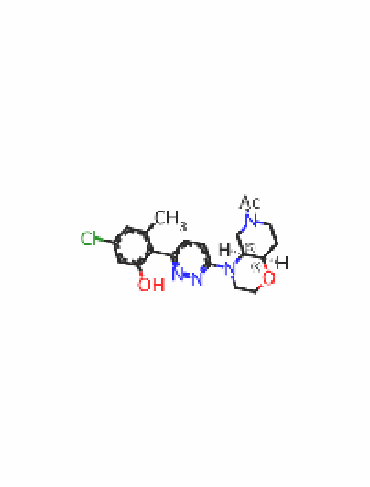 CC(=O)N1CC[C@H]2OCCN(c3ccc(-c4c(C)cc(Cl)cc4O)nn3)[C@H]2C1